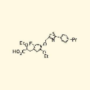 CCOc1cc(CC(OCC)C(=O)O)c(F)cc1OCc1csc(-c2ccc(C(C)C)cc2)n1